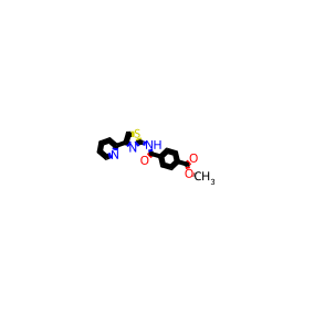 COC(=O)c1ccc(C(=O)Nc2nc(-c3ccccn3)cs2)cc1